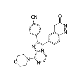 N#Cc1ccc(-c2nc3c(N4CCOCC4)nccn3c2-c2ccc3c(c2)CC(=O)N=N3)cc1